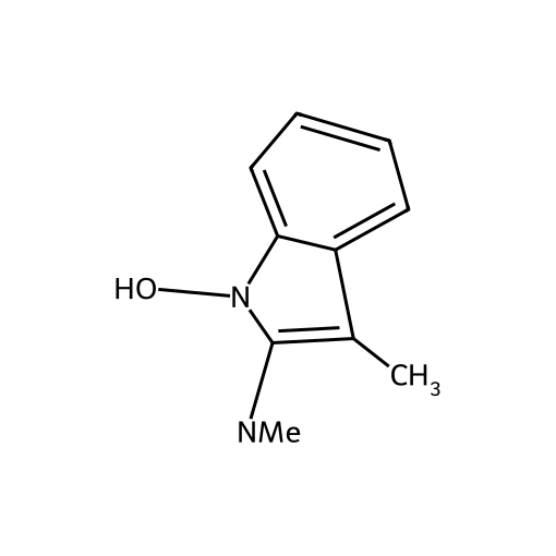 CNc1c(C)c2ccccc2n1O